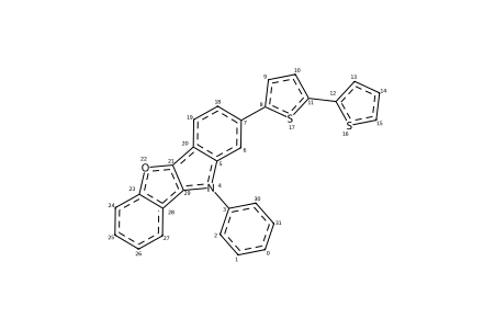 c1ccc(-n2c3cc(-c4ccc(-c5cccs5)s4)ccc3c3oc4ccccc4c32)cc1